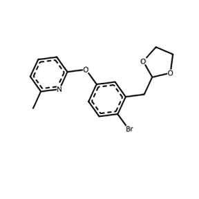 Cc1cccc(Oc2ccc(Br)c(CC3OCCO3)c2)n1